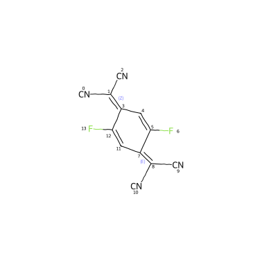 [C-]#[N+]/C(C#N)=c1/cc(F)/c(=C(\C#N)[N+]#[C-])cc1F